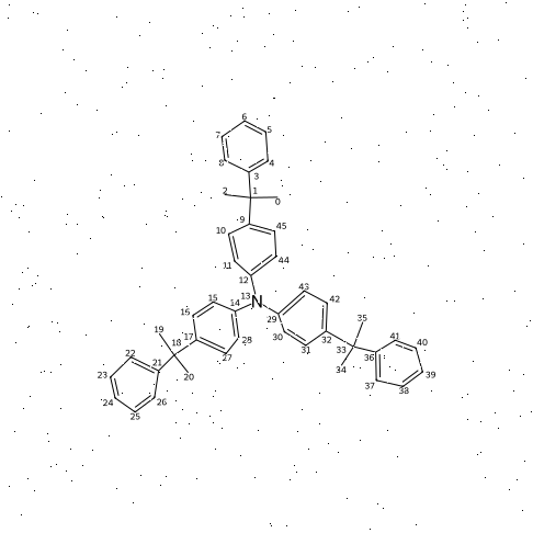 CC(C)(c1ccccc1)c1ccc(N(c2ccc(C(C)(C)c3ccccc3)cc2)c2ccc(C(C)(C)c3ccccc3)cc2)cc1